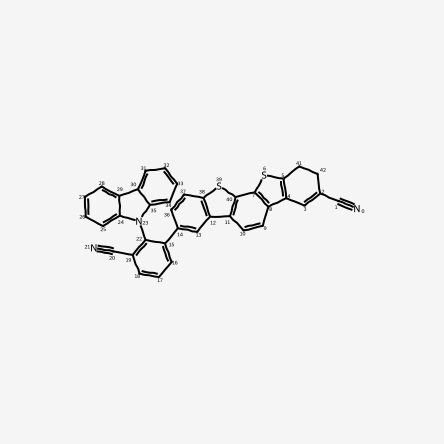 N#CC1=Cc2c(sc3c2ccc2c4cc(-c5cccc(C#N)c5-n5c6ccccc6c6ccccc65)ccc4sc23)CC1